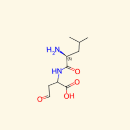 CC(C)C[C@H](N)C(=O)NC(CC=O)C(=O)O